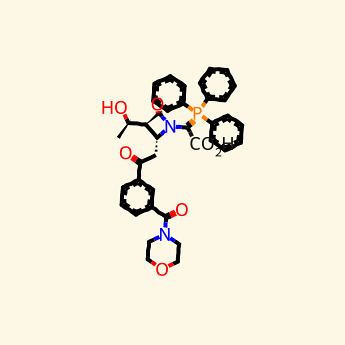 C[C@@H](O)[C@H]1C(=O)N(C(C(=O)O)=P(c2ccccc2)(c2ccccc2)c2ccccc2)[C@@H]1CC(=O)c1cccc(C(=O)N2CCOCC2)c1